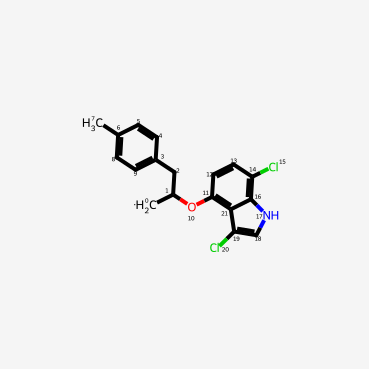 [CH2]C(Cc1ccc(C)cc1)Oc1ccc(Cl)c2[nH]cc(Cl)c12